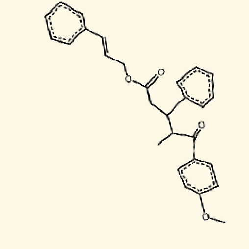 COc1ccc(C(=O)C(C)C(CC(=O)OC/C=C/c2ccccc2)c2ccccc2)cc1